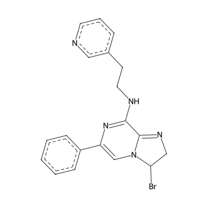 BrC1CN=C2C(NCCc3cccnc3)=NC(c3ccccc3)=CN21